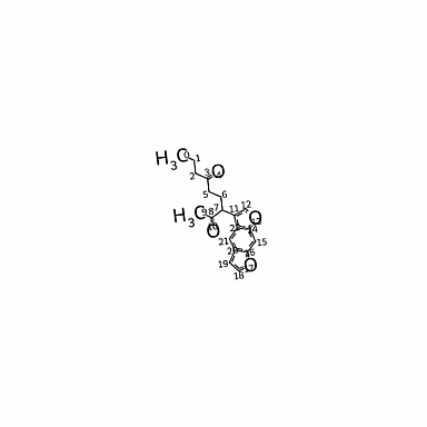 CCCC(=O)CCC(C(C)=O)c1coc2cc3occc3cc12